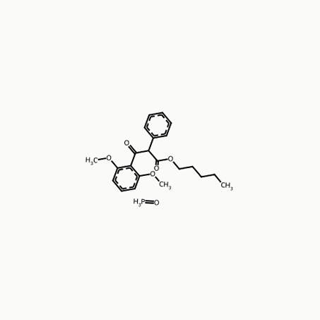 CCCCCOC(=O)C(C(=O)c1c(OC)cccc1OC)c1ccccc1.O=[PH3]